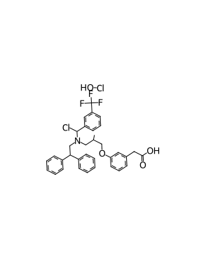 CC(COc1cccc(CC(=O)O)c1)CN(CC(c1ccccc1)c1ccccc1)C(Cl)c1cccc(C(F)(F)F)c1.OCl